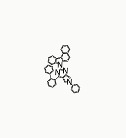 c1ccc(-c2ccccc2-c2nc(-n3c4ccccc4c4c5ccccc5ccc43)nc3cn(-c4ccccc4)cc23)cc1